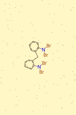 BrN(Br)c1ccccc1Cc1ccccc1N(Br)Br